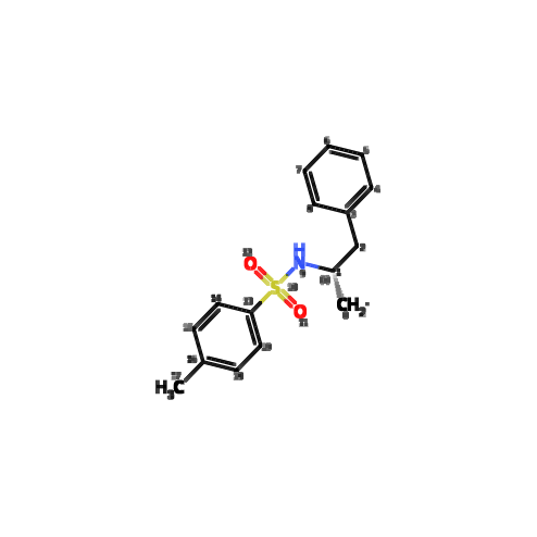 [CH2][C@@H](Cc1ccccc1)NS(=O)(=O)c1ccc(C)cc1